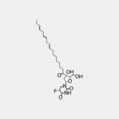 CCC=CCC=CCC=CCCCCCCCC(=O)[C@]1(O)C[C@H](n2cc(F)c(=O)[nH]c2=O)O[C@@H]1CO